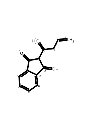 C=CCC(=C)[C]1C(=O)c2ccccc2C1=O